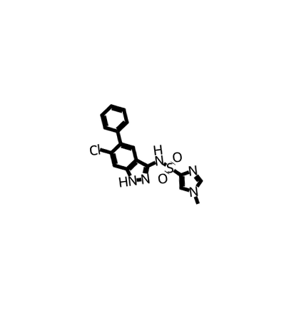 Cn1cnc(S(=O)(=O)Nc2n[nH]c3cc(Cl)c(-c4ccccc4)cc23)c1